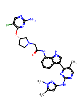 Cc1cnc(Nc2cc(C)n(C)n2)nc1-c1c[nH]c2c(NC(=O)CN3CC[C@H](Oc4nc(N)ncc4F)C3)cccc12